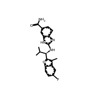 Cc1c([C@H](Nc2nc3ccc(C(N)=O)cc3[nH]2)C(C)C)oc2ccc(F)cc12